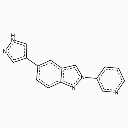 c1cncc(-n2cc3cc(-c4cn[nH]c4)ccc3n2)c1